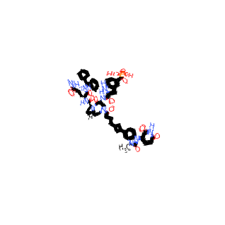 Cn1c(=O)n(C2CCC(=O)NC2=O)c2ccc(C3CC(CCCC(=O)N4CC[C@H]5CC[C@@H](C(=O)N[C@@H](CCC(N)=O)C(=O)NC(c6ccccc6)c6ccccc6)N5C(=O)[C@@H](NC(=O)c5cc6cc(C(=O)P(=O)(O)O)ccc6[nH]5)C4)C3)cc21